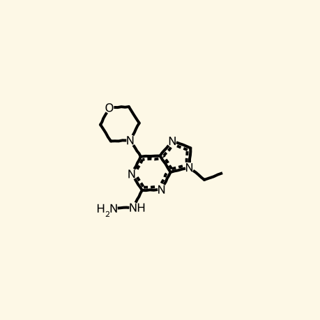 CCn1cnc2c(N3CCOCC3)nc(NN)nc21